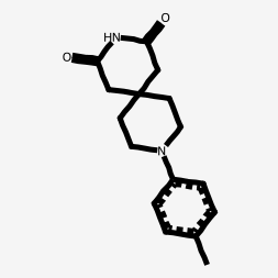 Cc1ccc(N2CCC3(CC2)CC(=O)NC(=O)C3)cc1